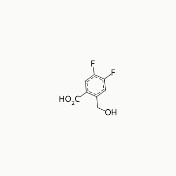 O=C(O)c1cc(F)c(F)cc1CO